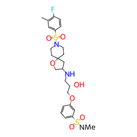 CNS(=O)(=O)c1cccc(OC[C@@H](O)CNC2COC3(CCN(S(=O)(=O)c4ccc(F)c(C)c4)CC3)C2)c1